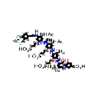 CC(=O)Nc1cc(NN(C)c2cc(SCCCS(=O)(=O)O)c(N=Nc3cc(OCCCS(=O)(=O)O)c(N=Nc4c(C)c(C#N)c5nc6cc(S(=O)(=O)O)ccc6n5c4O)cc3C)cc2NC(C)=O)c(SCCCS(=O)(=O)O)cc1NC#Cc1ccc(Cl)c(S(=O)(=O)O)c1